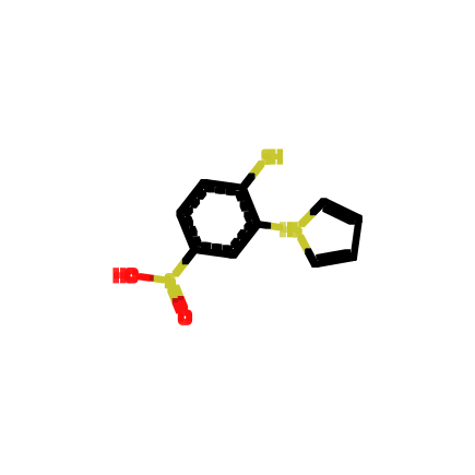 O=S(O)c1ccc(S)c([SH]2C=CC=C2)c1